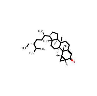 CC[C@H](CC[C@@H](C)[C@H]1CC[C@H]2[C@@H]3CCC4=CC(=O)[C@@H]5C[C@@H]5[C@]4(C)[C@H]3CC[C@]12C)C(C)C